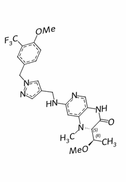 COc1ccc(Cn2cc(CNc3cc4c(cn3)NC(=O)[C@H]([C@@H](C)OC)N4C)cn2)cc1C(F)(F)F